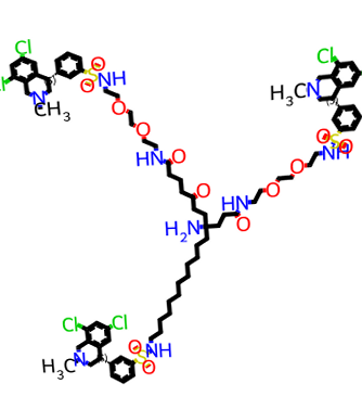 CN1Cc2c(Cl)cc(Cl)cc2[C@H](c2cccc(S(=O)(=O)NCCCCCCCCCCCCC(N)(CCC(=O)CCCC(=O)NCCOCCOCCNS(=O)(=O)c3cccc([C@@H]4CN(C)Cc5c(Cl)cc(Cl)cc54)c3)CCC(=O)NCCOCCOCCNS(=O)(=O)c3cccc([C@@H]4CN(C)Cc5c(Cl)cc(Cl)cc54)c3)c2)C1